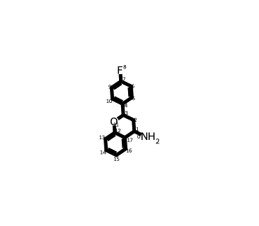 NC1CC(c2ccc(F)cc2)Oc2ccccc21